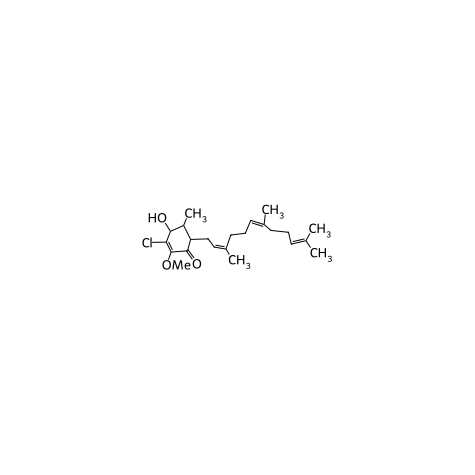 COC1=C(Cl)C(O)C(C)C(CC=C(C)CCC=C(C)CCC=C(C)C)C1=O